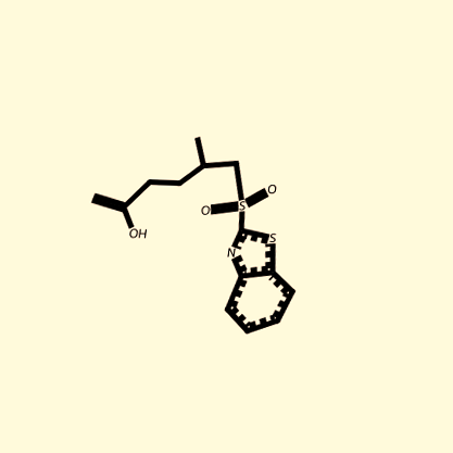 C=C(O)CCC(C)CS(=O)(=O)c1nc2ccccc2s1